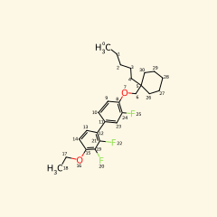 CCCCCC1(COc2ccc(-c3ccc(OCC)c(F)c3F)cc2F)CCCCC1